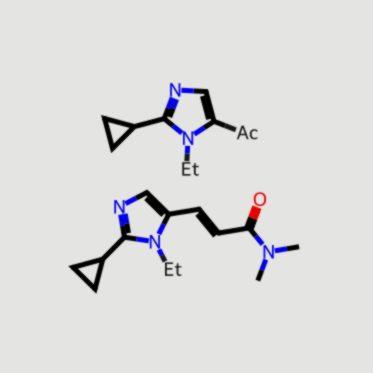 CCn1c(/C=C/C(=O)N(C)C)cnc1C1CC1.CCn1c(C(C)=O)cnc1C1CC1